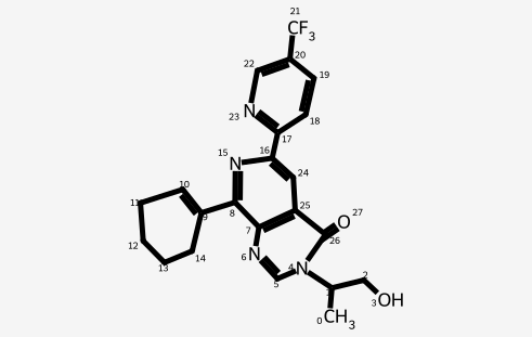 CC(CO)n1cnc2c(C3=CCCCC3)nc(-c3ccc(C(F)(F)F)cn3)cc2c1=O